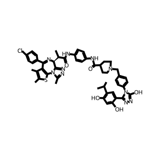 Cc1sc2c(c1C)C(c1ccc(Cl)cc1)=N[C@@H](C(C)C(=O)Nc1ccc(NC(=O)C3CCN(Cc4ccc(-n5c(O)nnc5-c5cc(C(C)C)c(O)cc5O)cc4)CC3)cc1)c1nnc(C)n1-2